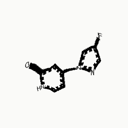 O=c1cc(-n2cc(F)cn2)cc[nH]1